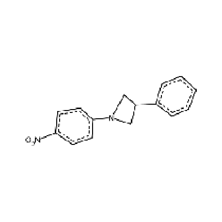 O=[N+]([O-])c1ccc(N2CC(c3ccccc3)C2)cc1